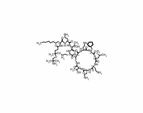 CCCCCCCC[C@H](NC(=O)CCC(C)(C)OCC(C)(C)N)C(=O)N[C@@H](CCN)C(=O)N[C@H](C(=O)N[C@@H](CCN)C(=O)N[C@H]1CCNC(=O)[C@H]([C@@H](C)O)NC(=O)[C@H](CCN)NC(=O)[C@H](CCN)NC(=O)[C@H](CC(C)C)NC(=O)[C@@H](Cc2ccccc2)NC(=O)[C@H](CCN)NC1=O)[C@@H](C)O